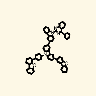 c1ccc(-c2nc(-n3c4ccccc4c4cc(-c5ccc6c(c5)c5cc(-c7ccc8oc9ccccc9c8c7)ccc5n6-c5ccc(-c6cccc7c6oc6ccccc67)cc5)ccc43)nc3ccccc23)cc1